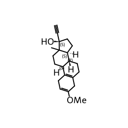 C#C[C@]1(O)CC[C@H]2[C@@H]3CCC4=C(CC=C(OC)C4)[C@H]3CCC21C